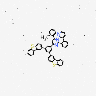 Cc1ccccc1-c1cc(-c2cc(-c3ccc4sc5ccccc5c4c3)cc(-c3ccc4sc5ccccc5c4c3)c2)nc(-c2ccccc2-c2cccnc2)n1